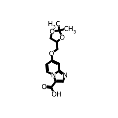 CC1(C)OCC(COc2ccn3c(C(=O)O)cnc3c2)O1